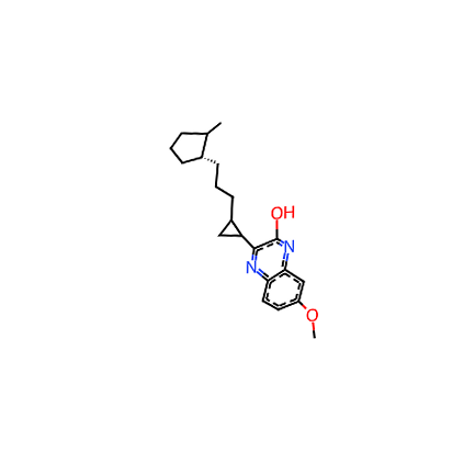 COc1ccc2nc(C3CC3CCC[C@@H]3CCCC3C)c(O)nc2c1